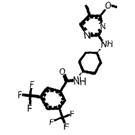 COc1nc(N[C@H]2CC[C@@H](NC(=O)c3cc(C(F)(F)F)cc(C(F)(F)F)c3)CC2)ncc1C